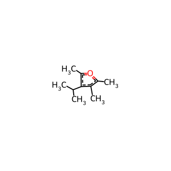 Cc1oc(C)c(C(C)C)c1C